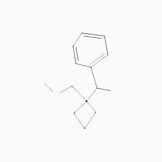 COCC1(C(Br)c2ccccc2)CCC1